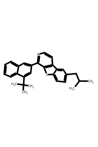 CC(C)Cc1ccc2sc3c(-c4cc(C(C)(C)C)c5ccccc5c4)nccc3c2c1